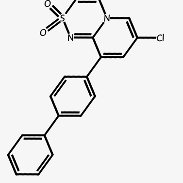 O=S1(=O)C=CN2C=C(Cl)C=C(c3ccc(-c4ccccc4)cc3)C2=N1